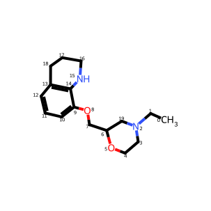 CCN1CCOC(COc2cccc3c2NCCC3)C1